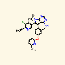 C#Cc1ncc(-c2c3c4c(ncnc4n2C)NCc2cc(Oc4cccc(C)n4)ccc2-3)c(C)c1F